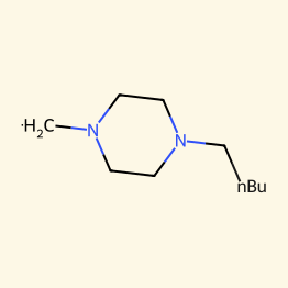 [CH2]N1CCN(CCCCC)CC1